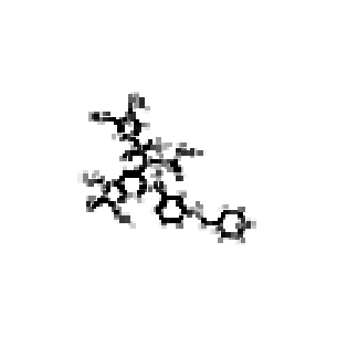 Cc1nc(S(=O)(=O)N(c2cc3c(cc2Oc2cccc(OCC4CCNCC4)c2)n(C)c(=O)n3C)C(F)(F)C(=O)OF)cn1C